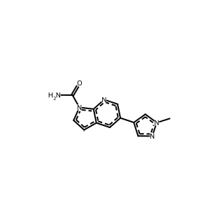 Cn1cc(-c2cnc3c([c]cn3C(N)=O)c2)cn1